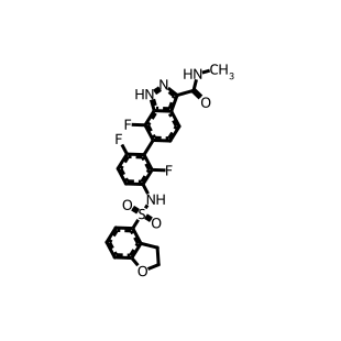 CNC(=O)c1n[nH]c2c(F)c(-c3c(F)ccc(NS(=O)(=O)c4cccc5c4CCO5)c3F)ccc12